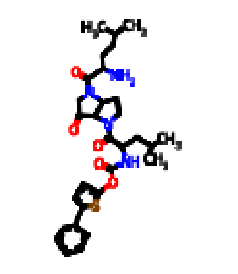 CC(C)CCC(N)C(=O)N1CC(=O)C2C1CCN2C(=O)C(CC(C)C)NC(=O)Oc1ccc(-c2ccccc2)s1